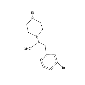 CCN1CCN(C(C=O)Cc2cccc(Br)c2)CC1